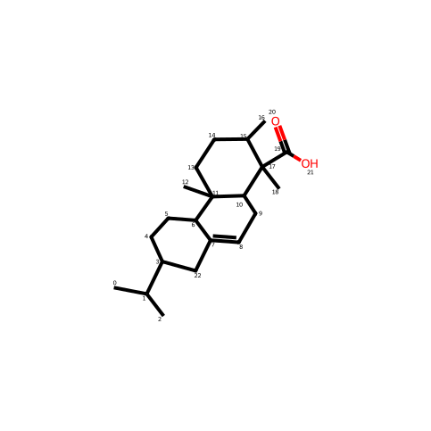 CC(C)C1CCC2C(=CCC3C2(C)CCC(C)C3(C)C(=O)O)C1